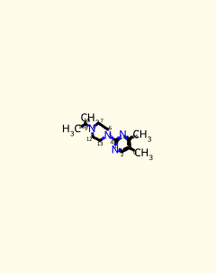 Cc1cnc(N2CCN(C(C)C)CC2)nc1C